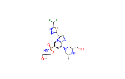 C[C@H]1CN(c2cc(S(=O)(=O)NC3(C)COC3)cn3c(-c4nnc(C(F)F)s4)cnc23)C[C@H](CO)N1